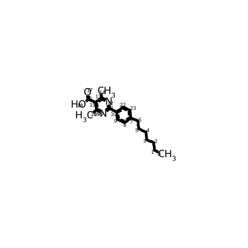 CCCCCCCc1ccc(-c2nc(C)c(C(=O)O)c(C)n2)cc1